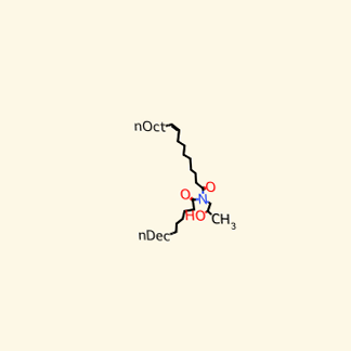 CCCCCCCC/C=C\CCCCCCCC(=O)N(CC(C)O)C(=O)CCCCCCCCCCCCCCC